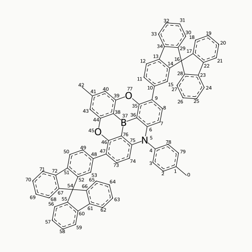 Cc1ccc(N2c3ccc(-c4ccc5c(c4)C4(c6ccccc6-c6ccccc64)c4ccccc4-5)c4c3B3c5c(cc(C)cc5Oc5c(-c6ccc7c(c6)C6(c8ccccc8-c8ccccc86)c6ccccc6-7)ccc2c53)O4)cc1